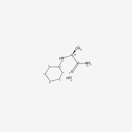 C[C@H](NC1CCCCC1)C(N)=O.Cl